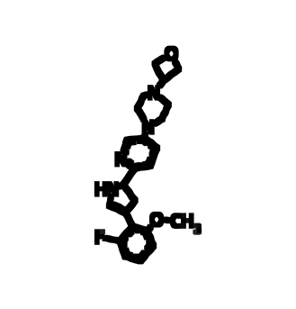 COc1cccc(F)c1C1=CNC(c2ccc(N3CCN(C4COC4)CC3)cn2)C1